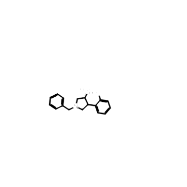 Cc1ccccc1C1CN(Cc2ccccc2)CC1C